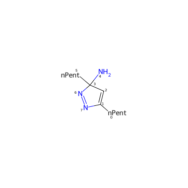 CCCCCC1=CC(N)(CCCCC)N=N1